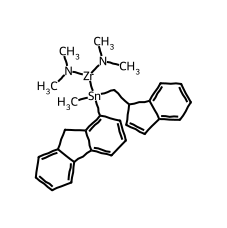 C[N](C)[Zr]([N](C)C)[Sn]([CH3])([CH2]C1C=Cc2ccccc21)[c]1cccc2c1Cc1ccccc1-2